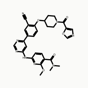 COc1nc(Nc2cc(-c3ccc(OC4CCN(C(=O)c5cnco5)CC4)c(C#N)c3)ncn2)ccc1C(=O)N(C)C